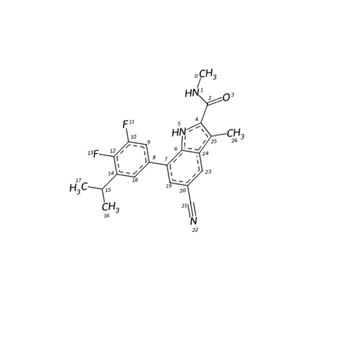 CNC(=O)c1[nH]c2c(-c3cc(F)c(F)c(C(C)C)c3)cc(C#N)cc2c1C